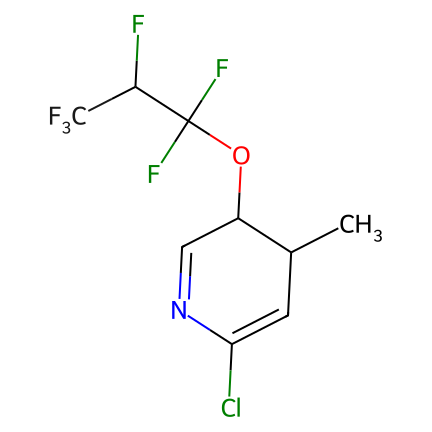 CC1C=C(Cl)N=CC1OC(F)(F)C(F)C(F)(F)F